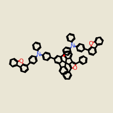 c1ccc(-c2oc(-c3ccccc3)c3c2-c2ccccc2C32c3ccccc3-c3cc(-c4ccc(N(c5ccccc5)c5ccc(-c6cccc7c6oc6ccccc67)cc5)cc4)cc(-c4ccc(N(c5ccccc5)c5ccc(-c6cccc7c6oc6ccccc67)cc5)cc4)c32)cc1